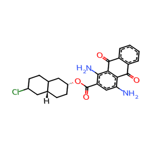 Nc1cc(C(=O)O[C@@H]2CC[C@@H]3CC(Cl)CCC3C2)c(N)c2c1C(=O)c1ccccc1C2=O